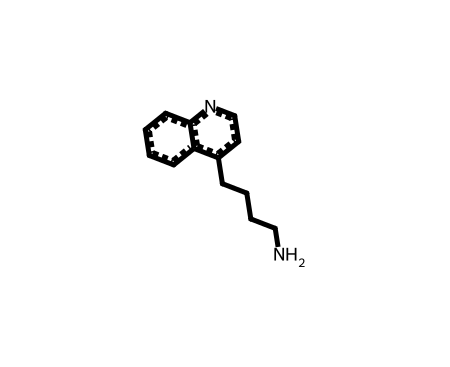 NCCCCc1ccnc2ccccc12